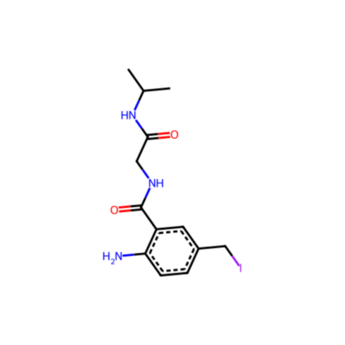 CC(C)NC(=O)CNC(=O)c1cc(CI)ccc1N